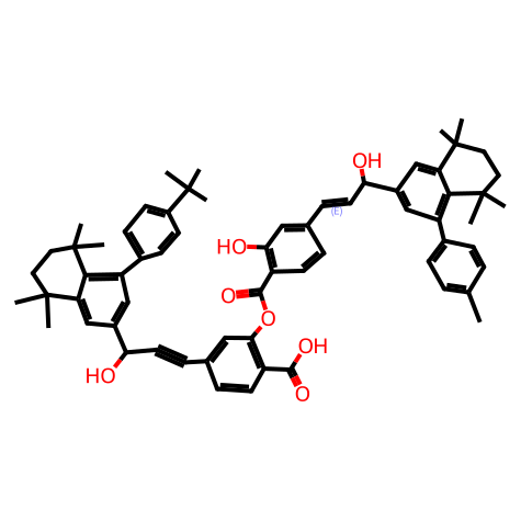 Cc1ccc(-c2cc(C(O)/C=C/c3ccc(C(=O)Oc4cc(C#CC(O)c5cc(-c6ccc(C(C)(C)C)cc6)c6c(c5)C(C)(C)CCC6(C)C)ccc4C(=O)O)c(O)c3)cc3c2C(C)(C)CCC3(C)C)cc1